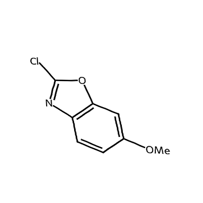 COc1ccc2nc(Cl)oc2c1